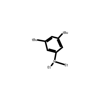 CCN(CC)c1cc(C(C)(C)C)cc(C(C)(C)C)c1